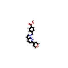 COC(=O)c1ccc(Cn2ccc3ccc(C4=CCOCC4)nc32)cc1